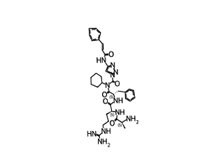 C[C@H](N)C(=O)N[C@@H](CCCNC(=N)N)C(=O)N[C@@H](Cc1ccccc1)C(=O)N(C(=O)n1cc(NC(=O)C=Cc2ccccc2)nn1)C1CCCCC1